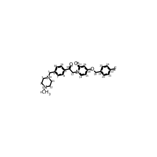 CN1CCN(Cc2ccc(C(=O)Cn3ccc(OCc4ccc(F)cc4)cc3=O)cc2)CC1